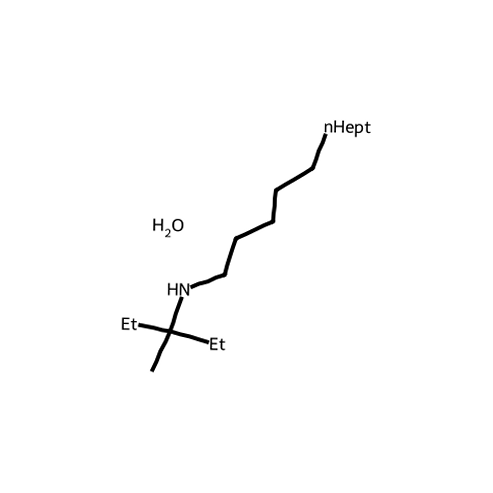 CCCCCCCCCCCCNC(C)(CC)CC.O